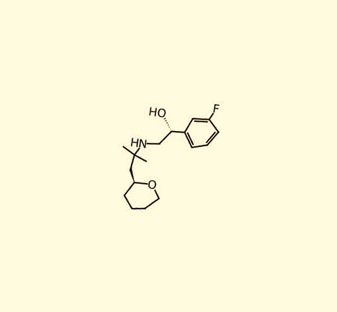 CC(C)(C[C@@H]1CCCCO1)NC[C@H](O)c1cccc(F)c1